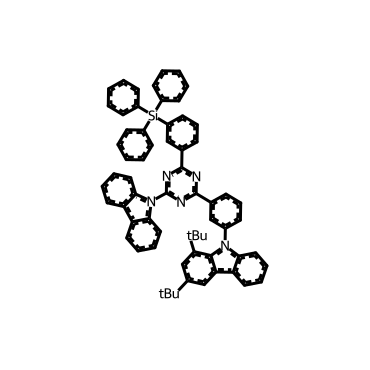 CC(C)(C)c1cc(C(C)(C)C)c2c(c1)c1ccccc1n2-c1cccc(-c2nc(-c3cccc([Si](c4ccccc4)(c4ccccc4)c4ccccc4)c3)nc(-n3c4ccccc4c4ccccc43)n2)c1